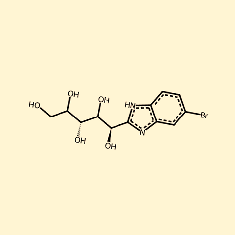 OCC(O)[C@@H](O)C(O)[C@H](O)c1nc2cc(Br)ccc2[nH]1